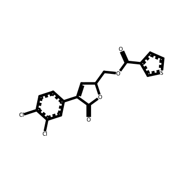 O=C1OC(COC(=O)c2ccsc2)C=C1c1ccc(Cl)c(Cl)c1